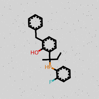 CCC(C)(Pc1ccccc1F)c1cccc(Cc2ccccc2)c1O